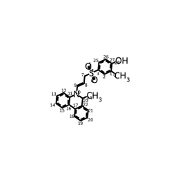 Cc1cc(S(=O)(=O)CC=CN2c3ccccc3-c3ccccc3C2C)ccc1O